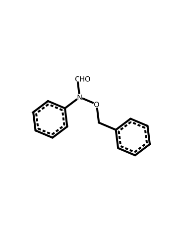 O=CN(OCc1ccccc1)c1c[c]ccc1